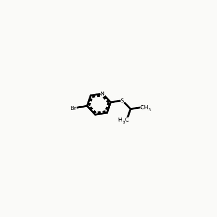 CC(C)Sc1ccc(Br)cn1